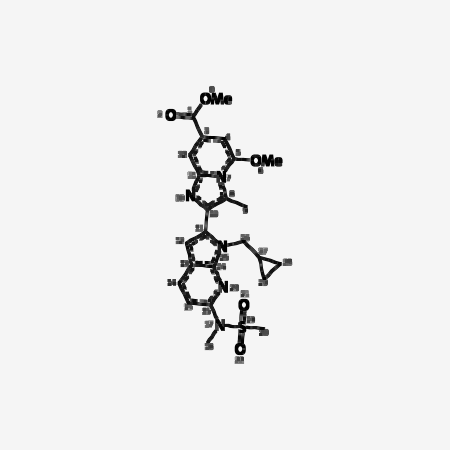 COC(=O)c1cc(OC)n2c(C)c(-c3cc4ccc(N(C)S(C)(=O)=O)nc4n3CC3CC3)nc2c1